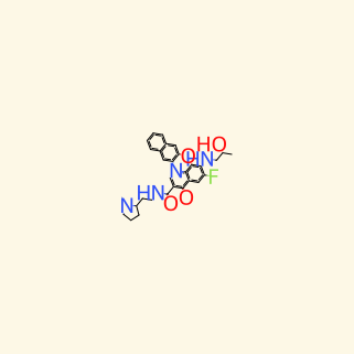 CC(O)CNc1c(F)cc2c(=O)c(C(=O)NCCC3CCCN3C)cn3c2c1Oc1cc2ccccc2cc1-3